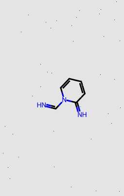 N=Cn1ccccc1=N